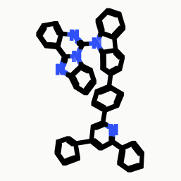 c1ccc(-c2cc(-c3ccccc3)nc(-c3ccc(-c4ccc5c6ccccc6n(-c6nc7ccccc7c7nc8ccccc8n67)c5c4)cc3)c2)cc1